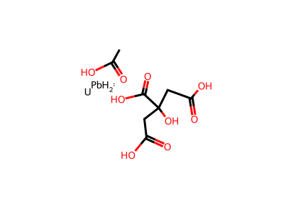 CC(=O)O.O=C(O)CC(O)(CC(=O)O)C(=O)O.[PbH2].[U]